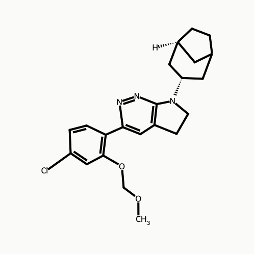 COCOc1cc(Cl)ccc1-c1cc2c(nn1)N([C@H]1CC3CC[C@@H](C3)C1)CC2